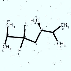 CC(C)[C@H](C)CC(F)(F)C(C)C